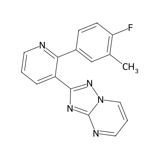 Cc1cc(-c2ncccc2-c2nc3ncccn3n2)ccc1F